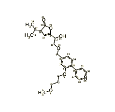 COCCCOc1cc(COCC(O)C2=CC(C(C)C)C(=O)O2)ccc1-c1ccncc1